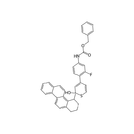 O=C(Nc1ccc(C2=CC(O)(C3CCCc4ccc5c(ccc6ccccc65)c43)SC=C2)c(F)c1)OCc1ccccc1